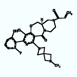 C=CC(=O)N1CCN2C(=O)c3c(N4CC5(CN(C)C5)C4)nc(-c4c(O)cccc4F)c(Cl)c3OC[C@H]2C1